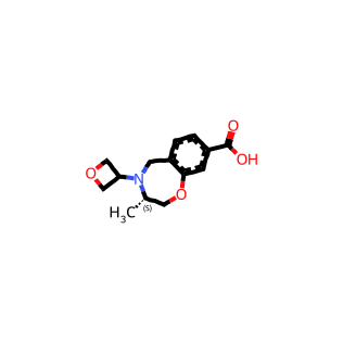 C[C@H]1COc2cc(C(=O)O)ccc2CN1C1COC1